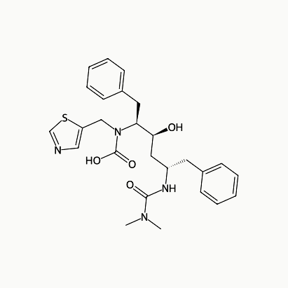 CN(C)C(=O)N[C@@H](Cc1ccccc1)C[C@H](O)[C@H](Cc1ccccc1)N(Cc1cncs1)C(=O)O